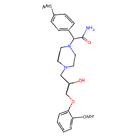 COc1ccccc1OCC(O)CN1CCN(C(C(N)=O)c2ccc(SC)cc2)CC1